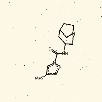 CSc1cnn(C(=O)NC2CC3CCN(C3)C2)c1